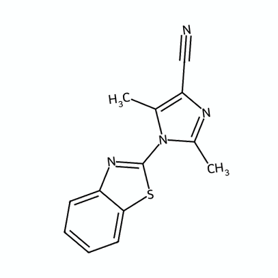 Cc1nc(C#N)c(C)n1-c1nc2ccccc2s1